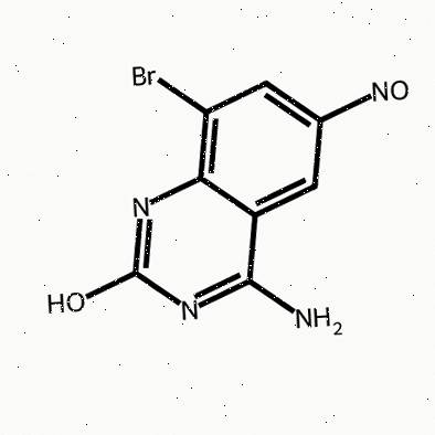 Nc1nc(O)nc2c(Br)cc(N=O)cc12